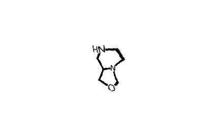 C1CN2COCC2CN1